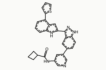 O=C(Nc1cncc(-c2ccc3[nH]nc(-c4cc5c(-c6cccs6)cccc5[nH]4)c3c2)c1)C1CCC1